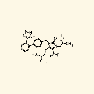 CC(C)CCc1c(C(F)F)n(CC(C)C)c(=O)n1Cc1ccc(-c2ccccc2-c2nnn[nH]2)cc1